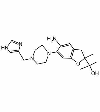 CC(C)(O)C1(C)Cc2cc(N)c(N3CCN(Cc4c[nH]cn4)CC3)cc2O1